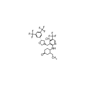 CCC1CC(=O)CCC1Nc1ncc(C(F)(F)F)cc1CN1CO[C@H](c2cc(C(F)(F)F)cc(C(F)(F)F)c2)[C@@H]1C